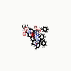 CCOC(=O)C(=Cc1cc2ccnc(NC(c3ccccc3)(c3ccccc3)c3ccccc3)c2cc1OC)N1CC[C@H](NC(=O)OCc2ccccc2)C1=O